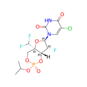 CC(C)OP1(=O)OC[C@@]2(C(F)F)O[C@@H](n3cc(Cl)c(=O)[nH]c3=O)[C@H](F)[C@@H]2O1